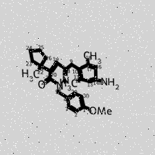 COc1ccc(Cn2nc(Cc3c(C)cc(N)cc3C)cc(C3(C)CCCC3)c2=O)cc1